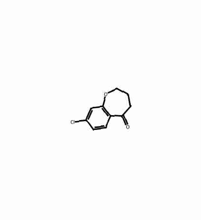 O=C1CCCOc2cc(Cl)ccc21